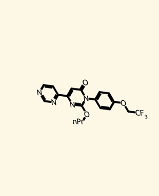 CCCOc1nc(-c2ccncn2)cc(=O)n1-c1ccc(OCC(F)(F)F)cc1